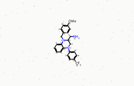 COc1ccc(CN2c3ccccc3N(c3ccc(C(F)(F)F)cc3)CC2CN)cc1